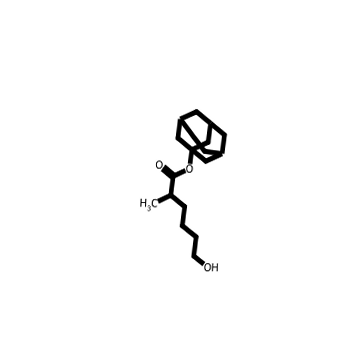 CC(CCCCO)C(=O)OC12CC3CC(CC(C3)C1)C2